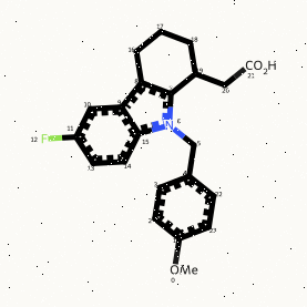 COc1ccc(Cn2c3c(c4cc(F)ccc42)CCCC3CC(=O)O)cc1